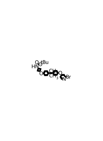 CC(C)(C)OC(=O)NC1CC(Oc2ccc(C(C)(C)c3ccc(Oc4ccnc(Br)c4)cc3)cc2)C1